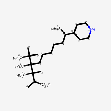 CCCCCCCC(CCCCCC(C(=O)O)(C(C)(C)C(=O)O)C(C)(C(=O)O)C(C)C(=O)O)C1CCNCC1